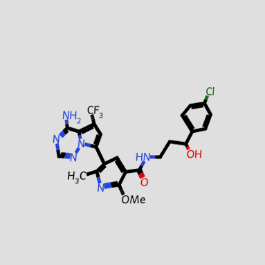 COc1nc(C)c(-c2cc(C(F)(F)F)c3c(N)ncnn23)cc1C(=O)NCCC(O)c1ccc(Cl)cc1